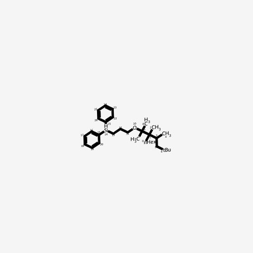 CCCCCCC(C)(C(C)CC(C)(C)C)C(C)(C)OCCC[SiH](c1ccccc1)c1ccccc1